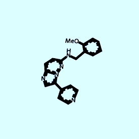 COc1ccccc1CNc1ccc2ncc(-c3ccncc3)n2n1